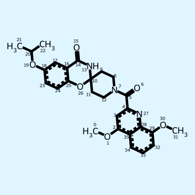 COc1cc(C(=O)N2CCC3(CC2)NC(=O)c2cc(OC(C)C)ccc2O3)nc2c(OC)cccc12